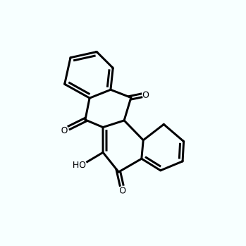 O=C1C2=CC=CCC2C2C(=O)c3ccccc3C(=O)C2=C1O